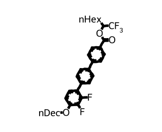 CCCCCCCCCCOc1ccc(-c2ccc(-c3ccc(C(=O)OC(CCCCCC)C(F)(F)F)cc3)cc2)c(F)c1F